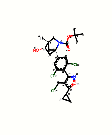 CC(C)(C)OC(=O)N1C[C@H]2C[C@]1(c1cc(Cl)c(-c3noc(C4CC4)c3CCl)c(Cl)c1)C[C@@H]2O